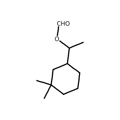 CC(OC=O)C1CCCC(C)(C)C1